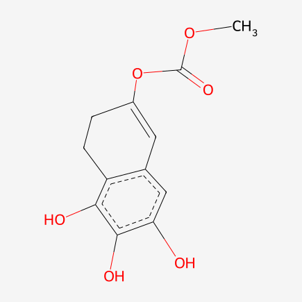 COC(=O)OC1=Cc2cc(O)c(O)c(O)c2CC1